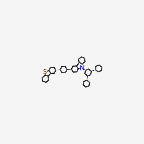 c1ccc(-c2cc(-c3ccccc3)cc(-n3c4ccccc4c4cc(-c5ccc(-c6ccc7sc8ccccc8c7c6)cc5)ccc43)c2)cc1